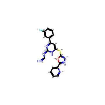 N=C/N=c1/nc(-c2cccc(F)c2)cc(Sc2nnc(-c3ccccn3)o2)[nH]1